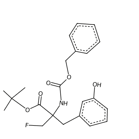 CC(C)(C)OC(=O)C(CF)(Cc1cccc(O)c1)NC(=O)OCc1ccccc1